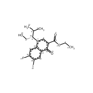 CCOC(=O)c1cn([C@H](CO)C(C)C)c2cc(F)c(I)cc2c1=O